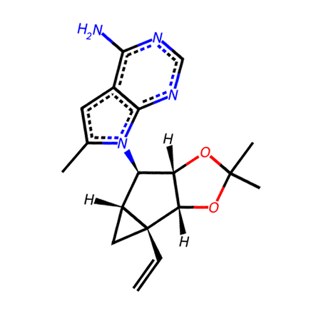 C=C[C@@]12C[C@@H]1[C@@H](n1c(C)cc3c(N)ncnc31)[C@@H]1OC(C)(C)O[C@@H]12